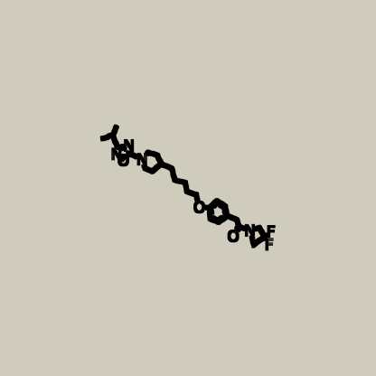 CC(C)c1noc(N2CCC(CCCCCOc3ccc(CC(=O)N4CC(F)(F)C4)cc3)CC2)n1